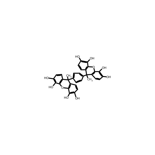 CC1(c2ccc(C3(C)c4ccc(O)c(O)c4Oc4c3ccc(O)c4O)cc2)c2ccc(O)c(O)c2Oc2c1ccc(O)c2O